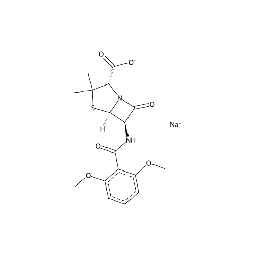 COc1cccc(OC)c1C(=O)N[C@@H]1C(=O)N2[C@@H]1SC(C)(C)[C@@H]2C(=O)[O-].[Na+]